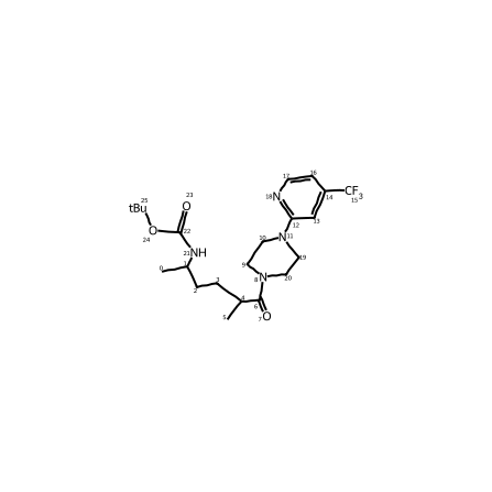 CC(CCC(C)C(=O)N1CCN(c2cc(C(F)(F)F)ccn2)CC1)NC(=O)OC(C)(C)C